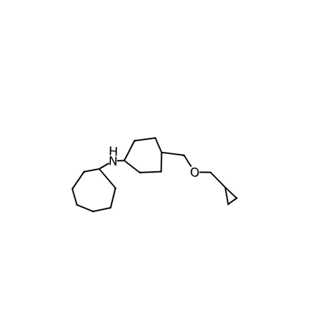 C1CCCC(NC2CCC(COCC3CC3)CC2)CC1